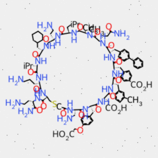 Cc1cccc(C[C@@H]2NC(=O)[C@H](CC(=O)O)NC(=O)[C@H](Cc3ccc(OCC(=O)O)cc3)NC(=O)[C@H](CN)NC(=O)CSC[C@@H](C(=O)N[C@@H](CCN)C(N)=O)NC(=O)[C@H](CCCN)NC(=O)[C@H](C(C)C)NC(=O)[C@H](CC3CCCCC3)NC(=O)[C@H](CCN)NC(=O)[C@@H](CC(C)C)NC(=O)[C@H](C)N(C)C(=O)[C@H](CCC(N)=O)NC(=O)[C@H](Cc3ccc(-c4ccccc4)cc3)NC(=O)[C@H](Cc3ccc(C(=O)O)cc3)NC2=O)c1